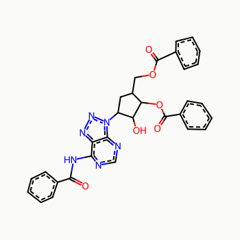 O=C(Nc1ncnc2c1nnn2C1CC(COC(=O)c2ccccc2)C(OC(=O)c2ccccc2)C1O)c1ccccc1